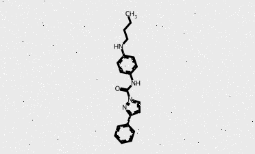 CCCCNc1ccc(NC(=O)n2ccc(-c3ccccc3)n2)cc1